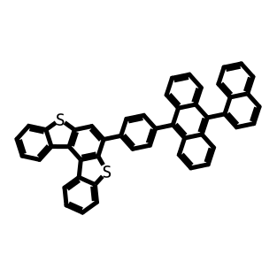 c1ccc2c(-c3c4ccccc4c(-c4ccc(-c5cc6sc7ccccc7c6c6c5sc5ccccc56)cc4)c4ccccc34)cccc2c1